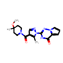 COC1(C)CCN(C(=O)c2cnn(-c3nn4cccc4c(=O)[nH]3)c2C)CC1